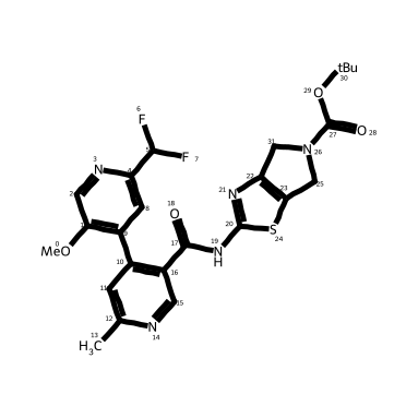 COc1cnc(C(F)F)cc1-c1cc(C)ncc1C(=O)Nc1nc2c(s1)CN(C(=O)OC(C)(C)C)C2